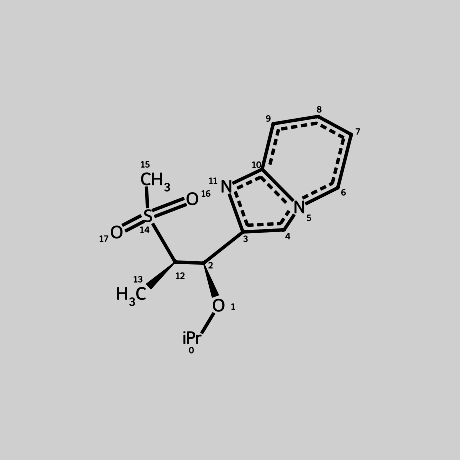 CC(C)O[C@H](c1cn2ccccc2n1)[C@@H](C)S(C)(=O)=O